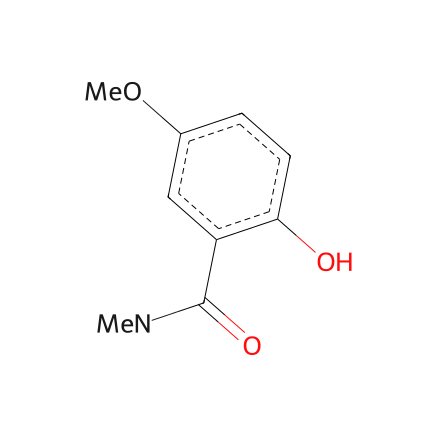 CNC(=O)c1cc(OC)ccc1O